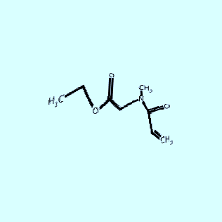 C=CC(=O)N(C)CC(=O)OCC